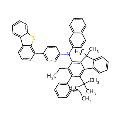 CCc1ccccc1-c1c(CC)c(N(c2ccc(-c3cccc4c3sc3ccccc34)cc2)c2ccc3ccccc3c2)c2c(c1C(C)(C)C)-c1ccccc1C2(C)C